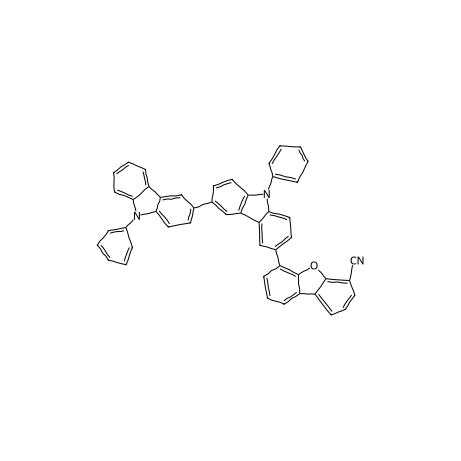 N#Cc1cccc2c1oc1c(-c3ccc4c(c3)c3cc(-c5ccc6c(c5)c5ccccc5n6-c5ccccc5)ccc3n4-c3ccccc3)cccc12